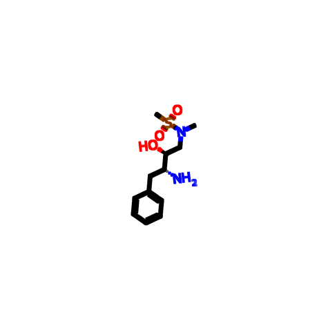 CN(C[C@H](O)[C@H](N)Cc1ccccc1)S(C)(=O)=O